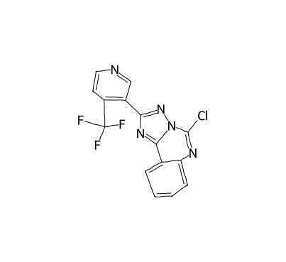 FC(F)(F)c1ccncc1-c1nc2c3ccccc3nc(Cl)n2n1